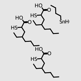 CCCCC(CC)CC(S)C(=O)O.CCCCC(CC)CC(S)C(=O)O.CCCCC(CC)CC(S)C(=O)O.CCC[CH2][SnH]